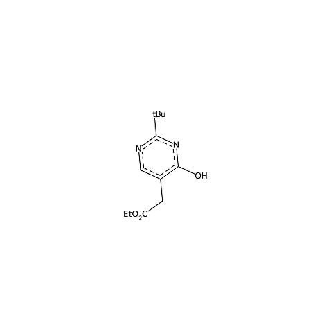 CCOC(=O)Cc1cnc(C(C)(C)C)nc1O